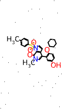 Cc1ccc(S(=O)(=O)n2ccc3c(-c4cc(O)ccc4OC4CCCCC4)cn(C)c(=O)c32)cc1